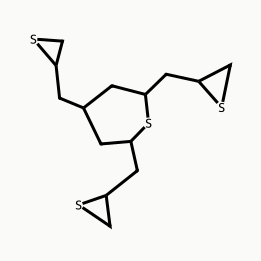 C1SC1CC1CC(CC2CS2)SC(CC2CS2)C1